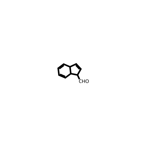 O=CC1C=CC2C=CC=CC12